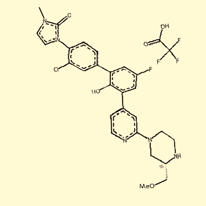 COC[C@@H]1CN(c2cc(-c3cc(F)cc(-c4ccc(-n5ccn(C)c5=O)c(Cl)c4)c3O)ccn2)CCN1.O=C(O)C(F)(F)F